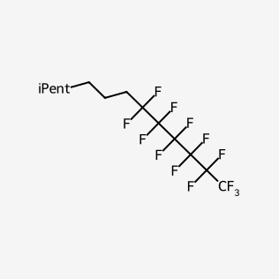 CCCC(C)CCCC(F)(F)C(F)(F)C(F)(F)C(F)(F)C(F)(F)C(F)(F)F